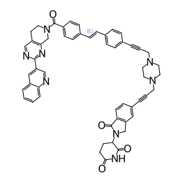 O=C1CCC(N2Cc3cc(C#CCN4CCN(CC#Cc5ccc(/C=C/c6ccc(C(=O)N7CCc8cnc(-c9cnc%10ccccc%10c9)nc8C7)cc6)cc5)CC4)ccc3C2=O)C(=O)N1